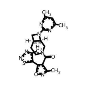 Cc1cc(C)nc(N2C[C@@H]3CCN(C(=O)c4c(C)noc4-c4snnc4C)C[C@@H]32)n1